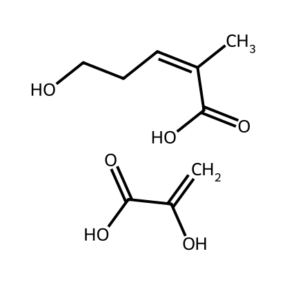 C=C(O)C(=O)O.CC(=CCCO)C(=O)O